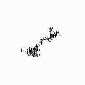 C[C@@H](C(=O)N[C@H](C(=O)N1C[C@@H](NC(=O)COCCOCCOCCOCCN2CCN(C/C=C/C(=O)N3CCC[C@@H](n4nc(-c5ccc(Oc6ccccc6)cc5)c5c(N)ncnc54)C3)CC2)C[C@H]1C(=O)N[C@@H]1CCCc2ccccc21)C1CCCCC1)N(C)C(=O)OC(C)(C)C